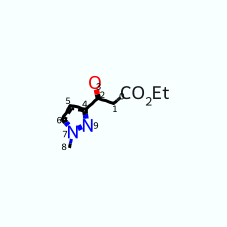 CCOC(=O)CC(=O)c1ccn(C)n1